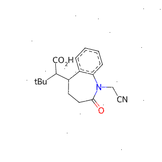 CC(C)(C)C(C(=O)O)C1CCC(=O)N(CC#N)c2ccccc21